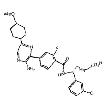 COC1CCC(c2cnc(N)c(-c3ccc(C(=O)N[C@H](CNC(=O)O)c4cccc(Cl)c4)c(F)c3)n2)CC1